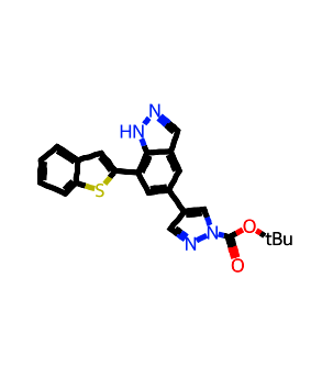 CC(C)(C)OC(=O)n1cc(-c2cc(-c3cc4ccccc4s3)c3[nH]ncc3c2)cn1